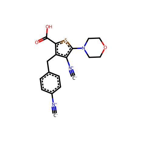 [C-]#[N+]c1ccc(Cc2c(C(=O)O)sc(N3CCOCC3)c2[N+]#[C-])cc1